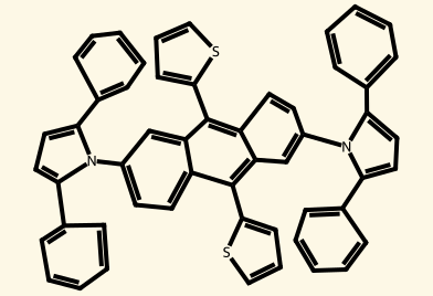 c1ccc(-c2ccc(-c3ccccc3)n2-c2ccc3c(-c4cccs4)c4cc(-n5c(-c6ccccc6)ccc5-c5ccccc5)ccc4c(-c4cccs4)c3c2)cc1